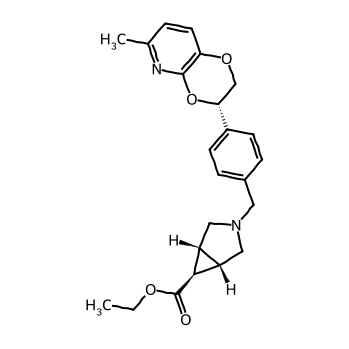 CCOC(=O)[C@H]1[C@@H]2CN(Cc3ccc([C@H]4COc5ccc(C)nc5O4)cc3)C[C@@H]21